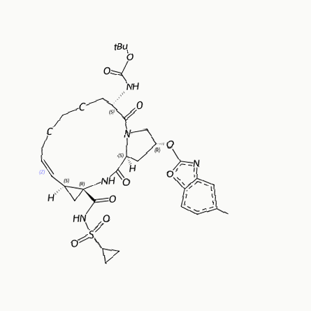 Cc1ccc2oc(O[C@@H]3C[C@H]4C(=O)N[C@]5(C(=O)NS(=O)(=O)C6CC6)C[C@H]5/C=C\CCCCC[C@H](NC(=O)OC(C)(C)C)C(=O)N4C3)nc2c1